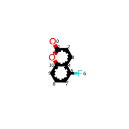 O=c1ccc2c(F)[c]ccc2o1